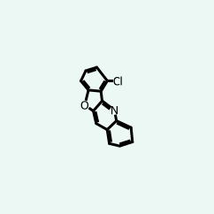 Clc1cccc2oc3cc4ccccc4nc3c12